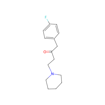 O=C(CCN1CCCCC1)Cc1ccc(F)cc1